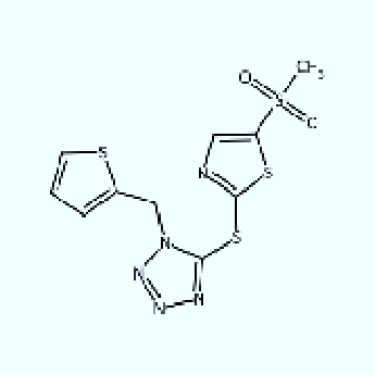 CS(=O)(=O)c1cnc(Sc2nnnn2Cc2cccs2)s1